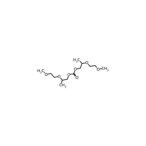 COCCOC(C)COC(=O)OCC(C)OCCOC